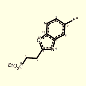 CCOC(=O)CCc1nc2cc(F)ccc2o1